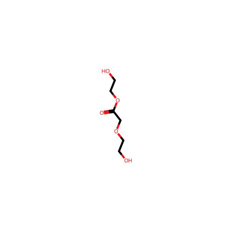 O=C(COCCO)OCCO